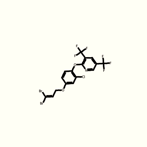 FC(F)(F)c1cnc(Oc2ccc(OCC=C(Br)Br)cc2Cl)c(C(F)(F)F)c1